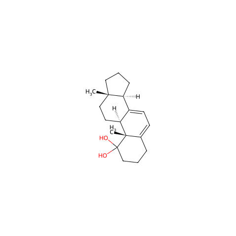 C[C@@]12CCC[C@H]1C1=CC=C3CCCC(O)(O)[C@]3(C)[C@H]1CC2